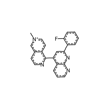 C[n+]1ccc2c(-c3cc(-c4ccccc4F)nc4ncccc34)nccc2c1